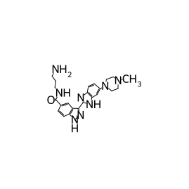 CN1CCN(c2ccc3nc(-c4n[nH]c5ccc(C(=O)NCCCN)cc45)[nH]c3c2)CC1